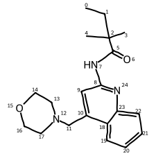 CCC(C)(C)C(=O)Nc1cc(CN2CCOCC2)c2ccccc2n1